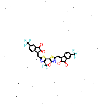 O=C1C(=O)c2cc(C(F)(F)F)ccc2/C1=C/c1nc2c(s1)-c1sc(/C=C3\C(=O)C(=O)c4cc(C(F)(F)F)ccc43)nc1C(F)(F)O2